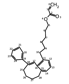 C=CC(=O)OCCCCCCc1cccc2c1/C=C(/c1ccccc1)CCCC2